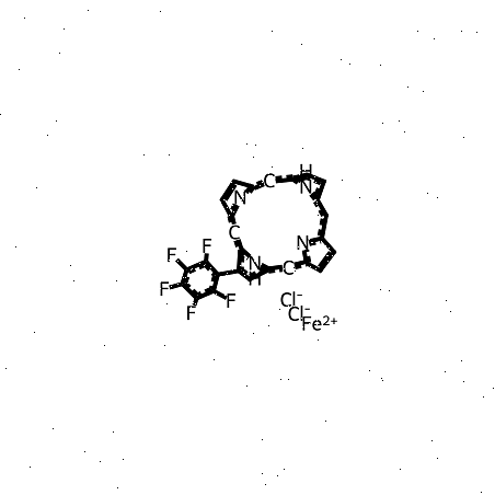 Fc1c(F)c(F)c(-c2cc3cc4nc(cc5ccc(cc6nc(cc2[nH]3)C=C6)[nH]5)C=C4)c(F)c1F.[Cl-].[Cl-].[Fe+2]